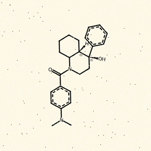 CN(C)c1ccc(C(=O)N2CC[C@@](O)(c3ccccc3)[C@H]3CCCCC32)cc1